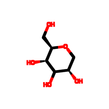 OC[C@H]1OC[C@H](O)C(O)[C@@H]1O